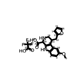 COc1ccc2[nH]c3c(c2c1)C(Cc1ccco1)CNC3C(=O)O.O=C(O)C(F)(F)F